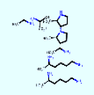 C[C@H](N)C(=O)O.NCC(=O)O.NCC(=O)O.NCCCC[C@H](N)C(=O)O.NCCCC[C@H](N)C(=O)O.O=C(O)[C@@H]1CCCN1.O=C(O)[C@@H]1CCCN1